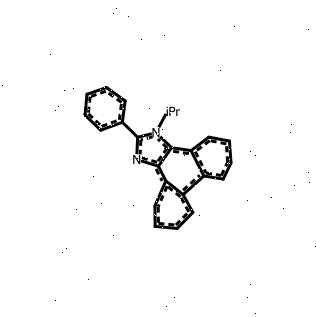 CC(C)n1c(-c2ccccc2)nc2c3ccccc3c3ccccc3c21